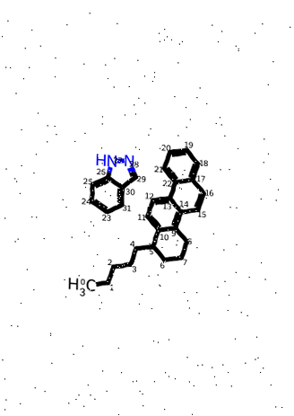 CCCCCC1CCCc2c1ccc1c2ccc2ccccc21.c1ccc2[nH]ncc2c1